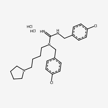 Cl.Cl.N=C(NCc1ccc(Cl)cc1)N(CCCCN1CCCC1)Cc1ccc(Cl)cc1